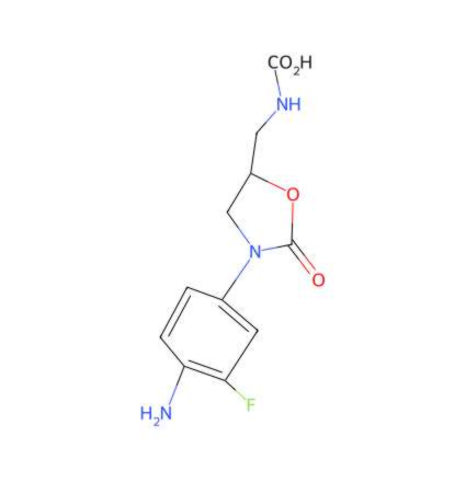 Nc1ccc(N2CC(CNC(=O)O)OC2=O)cc1F